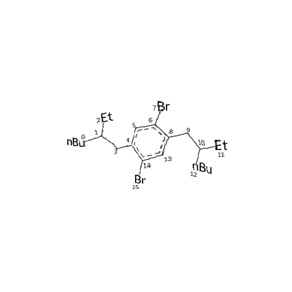 CCCCC(CC)Cc1cc(Br)c(CC(CC)CCCC)cc1Br